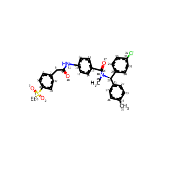 CCS(=O)(=O)c1ccc(CC(=O)Nc2ccc(C(=O)N(C)[C@H](c3ccc(C)cc3)c3ccc(Cl)cc3)cc2)cc1